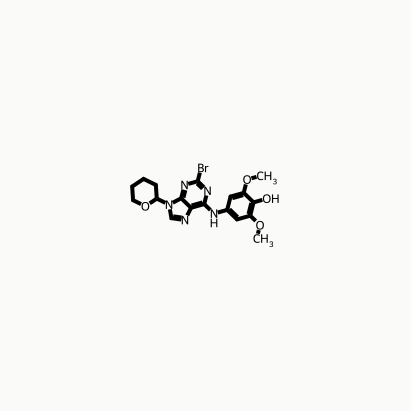 COc1cc(Nc2nc(Br)nc3c2ncn3C2CCCCO2)cc(OC)c1O